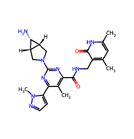 Cc1cc(C)c(CNC(=O)c2nc(N3C[C@@H]4[C@H](N)[C@@H]4C3)nc(-c3ccnn3C)c2C)c(=O)[nH]1